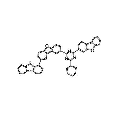 c1ccc(-c2nc(-c3ccc4c(c3)oc3ccccc34)nc(-c3ccc4oc5ccc(-c6cccc7c6sc6ccccc67)cc5c4c3)n2)cc1